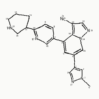 Cn1cc(-c2cc(-c3ccc(C4CCCNC4)nc3)c3c(C#N)cnn3c2)cn1